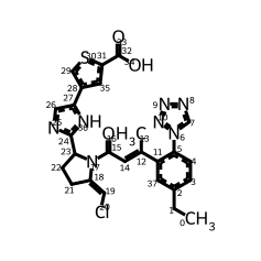 CCc1ccc(-n2cnnn2)c(/C(C)=C/C(=O)N2/C(=C/Cl)CCC2c2ncc(-c3csc(C(=O)O)c3)[nH]2)c1